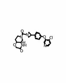 O=C1COC2CCN(C(=O)N3CC(c4ccc(Oc5cnccc5Cl)cc4)C3)C[C@H]2N1